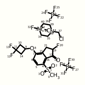 CS(=O)(=O)c1ccc(OC2CC(F)(F)C2)c2c1C(=O)C(F)C2.F[B-](F)(F)F.F[B-](F)(F)F.F[N+]12CC[N+](CCl)(CC1)CC2